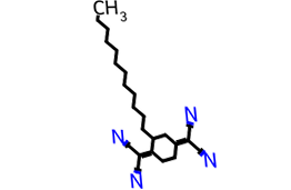 CCCCCCCCCCCCC1CC(=C(C#N)C#N)CCC1=C(C#N)C#N